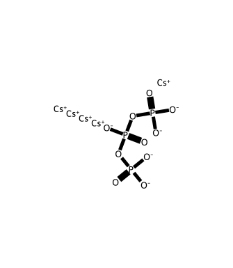 O=P([O-])([O-])OP(=O)([O-])OP(=O)([O-])[O-].[Cs+].[Cs+].[Cs+].[Cs+].[Cs+]